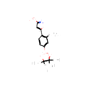 COc1cc(B2OC(C)(C)C(C)(C)O2)ccc1-c1cc(O)no1